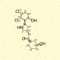 O=C(C[C@H]1CN[C@@H](c2c(O)ccc(Cl)c2Cl)C1)N1CCC[C@H](O)C1